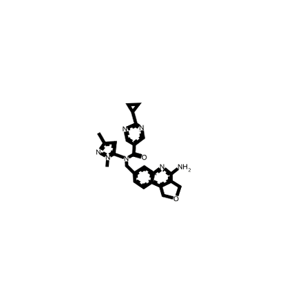 Cc1cc(N(Cc2ccc3c4c(c(N)nc3c2)COC4)C(=O)c2cnc(C3CC3)nc2)n(C)n1